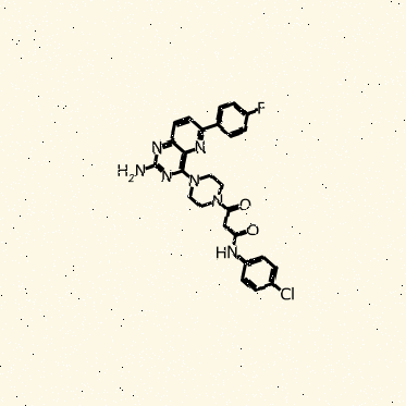 Nc1nc(N2CCN(C(=O)CC(=O)Nc3ccc(Cl)cc3)CC2)c2nc(-c3ccc(F)cc3)ccc2n1